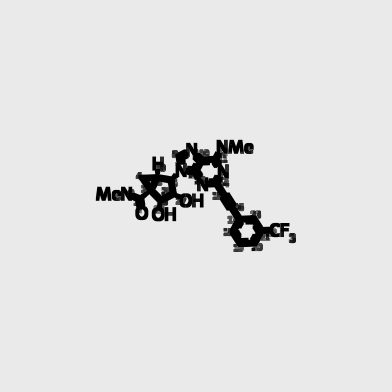 CNC(=O)[C@@]12C[C@@H]1[C@@H](n1cnc3c(NC)nc(C#Cc4cccc(C(F)(F)F)c4)nc31)[C@@H](O)[C@H]2O